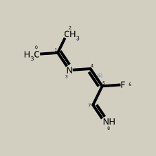 CC(C)=N/C=C(/F)C=N